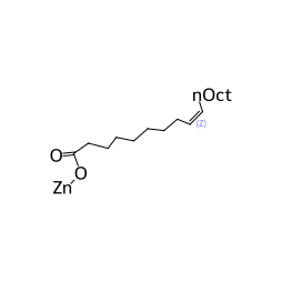 CCCCCCCC/C=C\CCCCCCCC(=O)[O][Zn]